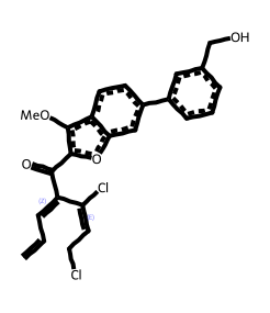 C=C/C=C(C(=O)c1oc2cc(-c3cccc(CO)c3)ccc2c1OC)\C(Cl)=C/CCl